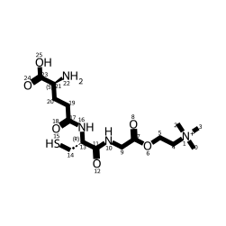 C[N+](C)(C)CCOC(=O)CNC(=O)[C@H](CS)NC(=O)CC[C@H](N)C(=O)O